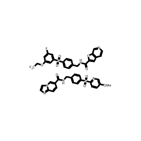 COc1ccc(S(=O)(=O)c2ccc(CNC(=O)c3ccc4nccn4c3)cc2)nc1.O=C(NCc1ccc(S(=O)(=O)c2cc(F)cc(OCC(F)(F)F)c2)cc1)c1cc2ccncc2o1